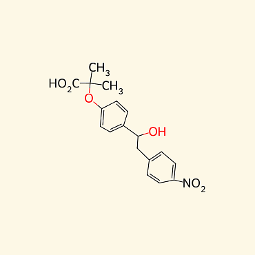 CC(C)(Oc1ccc(C(O)Cc2ccc([N+](=O)[O-])cc2)cc1)C(=O)O